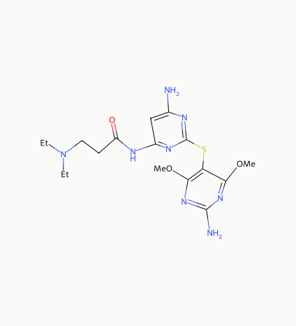 CCN(CC)CCC(=O)Nc1cc(N)nc(Sc2c(OC)nc(N)nc2OC)n1